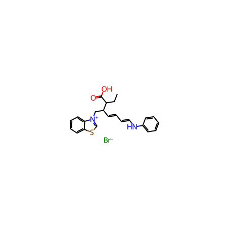 CCC(C(=O)O)C(C=CC=CNc1ccccc1)C[n+]1csc2ccccc21.[Br-]